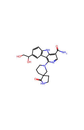 NC(=O)c1cnc(N2CCCC3(CCNC3=O)C2)c2c1[nH]c1ccc(C(O)CO)cc12